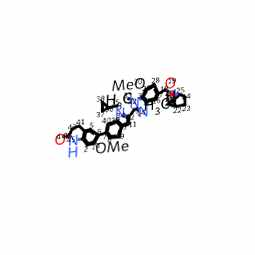 COc1cc2c(cc1-c1ccc3cc(-c4nc5cc(C(=O)N6CC7CCC6[C@@H]7C)cc(OC)c5n4C)n(CC4CC4)c3c1)CCC(=O)N2